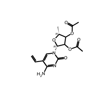 C=Cc1cn([C@@H]2O[C@H](C)C(OC(C)=O)C2OC(C)=O)c(=O)nc1N